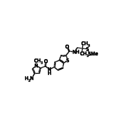 CSSC(C)(C)CNC(=O)c1cc2cc(NC(=O)c3cc(N)cn3C)ccc2s1